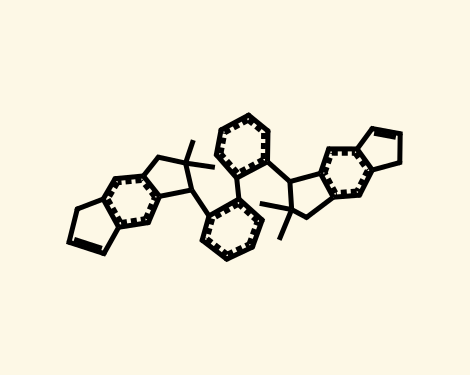 CC1(C)Cc2cc3c(cc2C1c1ccccc1-c1ccccc1C1c2cc4c(cc2CC1(C)C)CC=C4)C=CC3